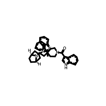 Cc1nc2ccccc2n1C1C[C@H]2CC[C@@H](C1)N2CCC1(c2ccccc2)CCN(C(=O)c2c[nH]c3ccccc23)CC1